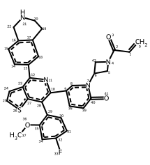 C=CC(=O)N1CC(n2cc(-c3nc(-c4ccc5c(c4)CCNC5)c4ccsc4c3-c3ccc(F)cc3OC)ccc2=O)C1